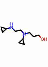 OCCCN(CCNC1CC1)C1CC1